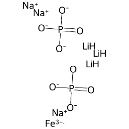 O=P([O-])([O-])[O-].O=P([O-])([O-])[O-].[Fe+3].[LiH].[LiH].[LiH].[Na+].[Na+].[Na+]